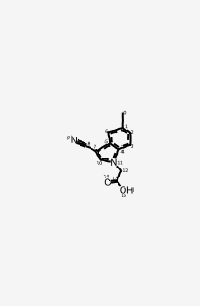 Cc1ccc2c(c1)c(C#N)cn2CC(=O)O